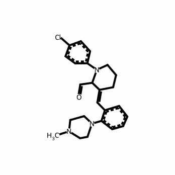 CN1CCN(c2ccccc2C=C2CCCN(c3ccc(Cl)cc3)C2C=O)CC1